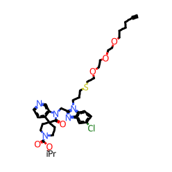 C#CCCCCOCCOCCOCCSCCCn1c(CN2C(=O)C3(CCN(C(=O)OC(C)C)CC3)c3ccncc32)nc2cc(Cl)ccc21